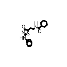 O=C(NCCC1SC(NC2CC3C=CC2C3)=NC1=O)C1CCCCC1